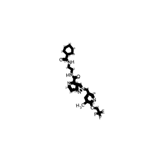 Cc1cc(Cn2cc3c(C(=O)NCCNC(=O)C4CCCCC4)nccc3n2)cnc1OCC(F)(F)F